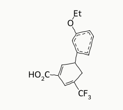 CCOc1cccc(C2C=C(C(=O)O)C=C(C(F)(F)F)C2)c1